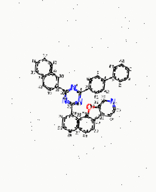 c1ccc(-c2ccc(-c3nc(-c4ccc5ccccc5c4)nc(-c4cccc5ccc6c7ccncc7oc6c45)n3)cc2)cc1